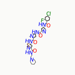 Cn1cc(NC(=O)c2ccc(Cl)cc2F)cc1C(=O)Nc1cc(C(=O)Nc2cc(C(=O)NCCN3CCCCC3)ns2)n(C)c1